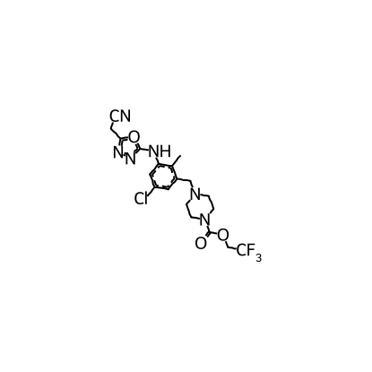 Cc1c(CN2CCN(C(=O)OCC(F)(F)F)CC2)cc(Cl)cc1Nc1nnc(CC#N)o1